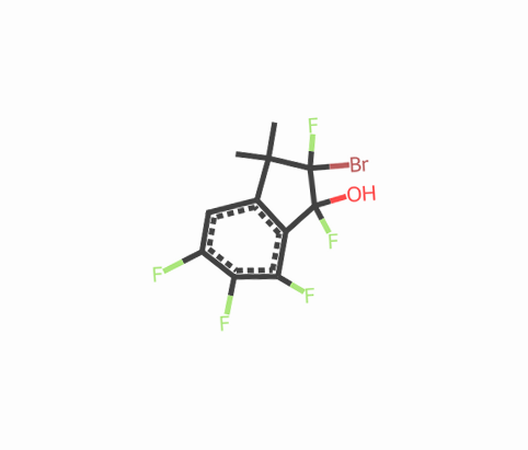 CC1(C)c2cc(F)c(F)c(F)c2C(O)(F)C1(F)Br